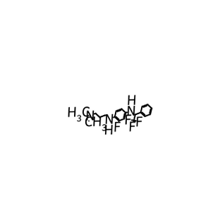 CN(C)CCCNc1ccc(NC(c2ccccc2)C(F)(F)F)cc1F